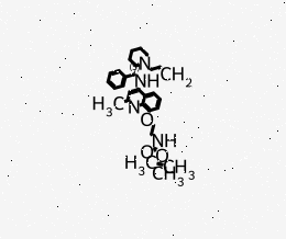 C=CCN1CCCC[C@H]1C(Nc1cc(C)nc2c(OCCNC(=O)OC(C)(C)C)cccc12)c1ccccc1